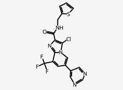 O=C(NCc1cccs1)c1nc2c(C(F)(F)F)cc(-c3cncnc3)cn2c1Cl